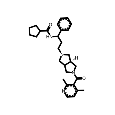 Cc1ccnc(C)c1C(=O)N1CC2CN(CCC(NC(=O)C3CCCC3)c3ccccc3)C[C@H]2C1